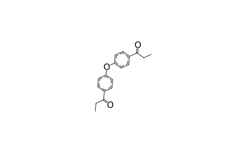 CCC(=O)c1ccc(Oc2ccc(C(=O)CC)cc2)cc1